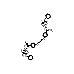 C/C(=N\OS(=O)(=O)C(F)(F)C(=O)NC1CCCCC1)c1ccc(OCCCOc2ccc(/C(=N/OS(=O)(=O)C(F)(F)C(=O)NC3CCCCC3)C(F)(F)F)cc2)cc1